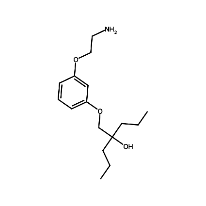 CCCC(O)(CCC)COc1cccc(OCCN)c1